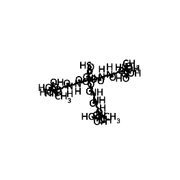 CC(=O)NC1C(OCCCCC(=O)NCCCNC(=O)CCOCC(COCCC(=O)NCCCNC(=O)CCCCOC2OC(CO)C(O)C(O)C2NC(C)=O)(COCCC(=O)NCCCNC(=O)CCCCOC2OC(CO)C(O)C(O)C2NC(C)=O)NC(=O)c2ccc(OS)cc2)OC(CO)C(O)C1O